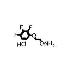 Cl.NOCCOc1ccc(F)c(F)c1F